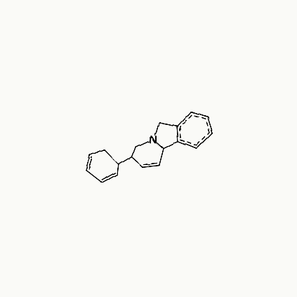 C1=CCC(C2C=CC3c4ccccc4CN3C2)C=C1